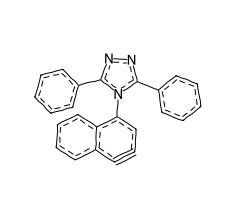 c1cc(-n2c(-c3ccccc3)nnc2-c2ccccc2)c2ccccc2c#1